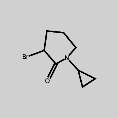 O=C1C(Br)CCCN1C1CC1